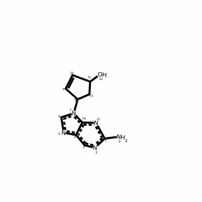 Nc1ncc2ncn(C3C=CC(O)C3)c2n1